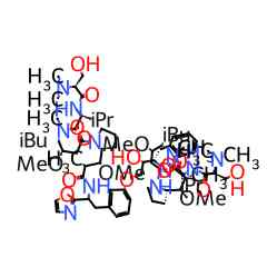 CC[C@H](C)[C@@H]([C@@H](CC(=O)N1CCC[C@H]1[C@H](OC)[C@@H](C)C(=O)NC(Cc1cccc(OC[C@H](O)[C@H](Cc2ccccc2)NC(=O)[C@H](C)[C@@H](OC)[C@@H]2CCCN2C(=O)C[C@@H](OC)[C@H]([C@@H](C)CC)N(C)C(=O)[C@@H](NC(=O)[C@H](CO)N(C)C)C(C)C)c1)c1ncco1)OC)N(C)C(=O)[C@@H](NC(=O)[C@H](CO)N(C)C)C(C)C